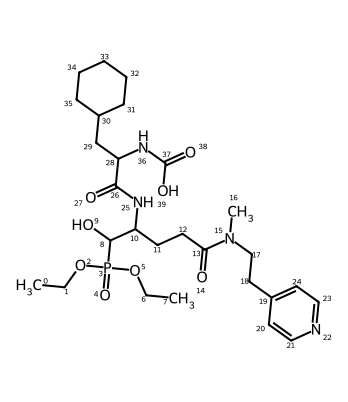 CCOP(=O)(OCC)C(O)C(CCC(=O)N(C)CCc1ccncc1)NC(=O)C(CC1CCCCC1)NC(=O)O